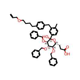 C=CCOCCCCc1ccc(Cc2cc([C@]3(O)O[C@H]([CH]CC(=O)O)[C@@H](OCc4ccccc4)[C@H](OCc4ccccc4)[C@H]3OCc3ccccc3)ccc2C)cc1